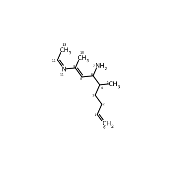 C=CCCC(C)C(N)/C=C(C)/N=C\C